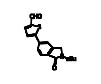 CCCCN1Cc2cc(-c3ccc(C=O)s3)ccc2C1=O